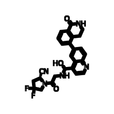 N#C[C@@H]1CC(F)(F)CN1C(=O)CNC(O)c1ccnc2ccc(-c3cccc4c3CCNC4=O)cc12